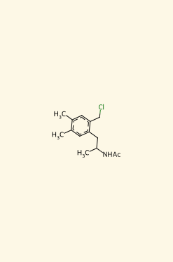 CC(=O)NC(C)Cc1cc(C)c(C)cc1CCl